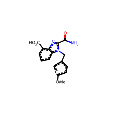 COc1ccc(Cn2c(C(N)=O)nc3c(C(=O)O)cccc32)cc1